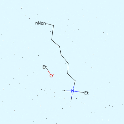 CCCCCCCCCCCCCCCC[N+](C)(C)CC.CC[O-]